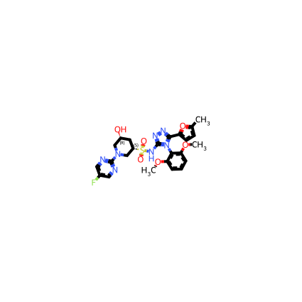 COc1cccc(OC)c1-n1c(NS(=O)(=O)[C@H]2C[C@@H](O)CN(c3ncc(F)cn3)C2)nnc1-c1ccc(C)o1